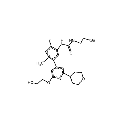 Cc1cc(F)c(NC(=O)NCCC(C)(C)C)cc1-c1cc(OCCO)nc(C2CCOCC2)c1